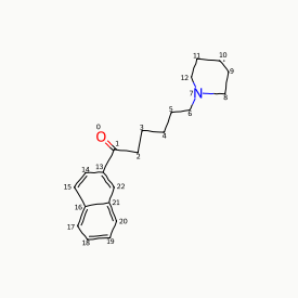 O=C(CCCCCN1CC[CH]CC1)c1ccc2ccccc2c1